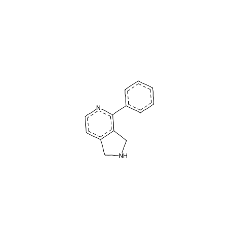 c1ccc(-c2nccc3c2CNC3)cc1